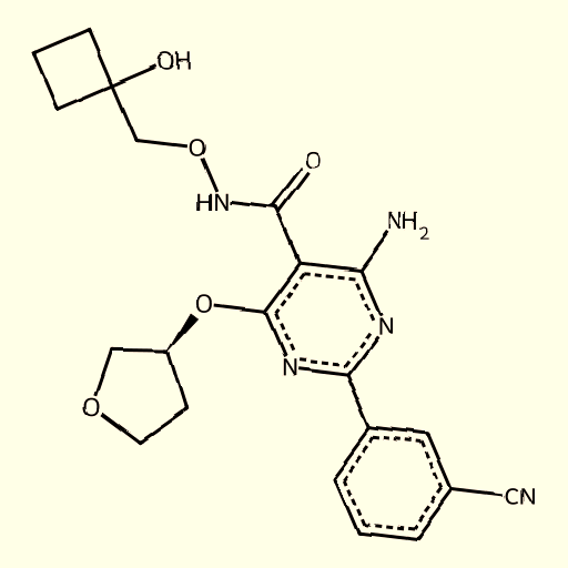 N#Cc1cccc(-c2nc(N)c(C(=O)NOCC3(O)CCC3)c(O[C@H]3CCOC3)n2)c1